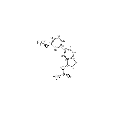 NC(=O)OC1CCc2ccc(-c3cccc(OC(F)(F)F)c3)cc21